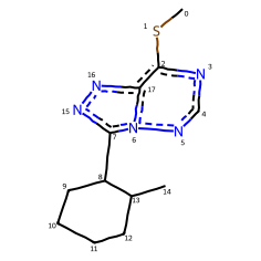 CSc1ncnn2c(C3CCCCC3C)nnc12